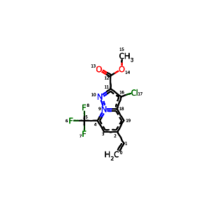 C=Cc1cc(C(F)(F)F)n2nc(C(=O)OC)c(Cl)c2c1